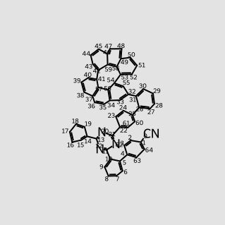 N#Cc1ccc(-c2ccccc2-c2nc(-c3ccccc3)nc(-c3ccc(-c4ccccc4-c4cc5ccc6cccc7c8cccc9ccc%10cccc(c(c4)c5c67)c%10c98)cc3)n2)cc1